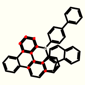 c1ccc(-c2ccc(N(c3ccccc3-c3cc4ccccc4c4ccccc34)c3ccccc3-c3cccc4oc5c6ccccc6ccc5c34)cc2)cc1